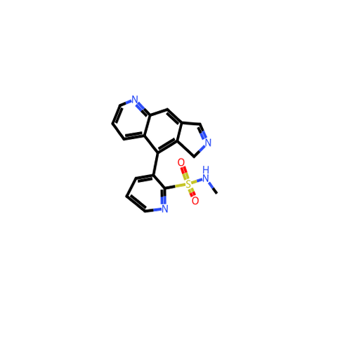 CNS(=O)(=O)c1ncccc1-c1c2c(cc3ncccc13)C=NC2